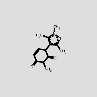 Cc1nn(C)c(C)c1C1C=CC(=O)C(N)C1=O